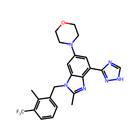 Cc1c(Cn2c(C)nc3c(-c4nc[nH]n4)cc(N4CCOCC4)cc32)cccc1C(F)(F)F